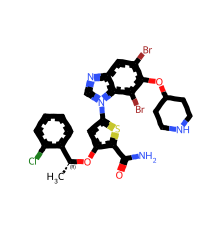 C[C@@H](Oc1cc(-n2cnc3cc(Br)c(OC4CCNCC4)c(Br)c32)sc1C(N)=O)c1ccccc1Cl